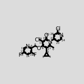 Cc1c(C2CC2)c(OCc2ncc(F)cc2F)c(Cl)c(=O)n1-c1ccnc(Cl)c1